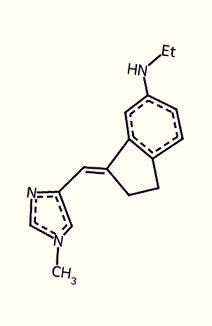 CCNc1ccc2c(c1)/C(=C/c1cn(C)cn1)CC2